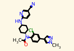 CC(=O)N(c1ccc(-c2cnn(C)c2)cc1Cl)[C@H]1CC[C@H](Nc2ccc(C#N)cn2)CC1